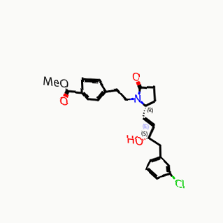 COC(=O)c1ccc(CCN2C(=O)CC[C@@H]2/C=C/[C@@H](O)Cc2cccc(Cl)c2)cc1